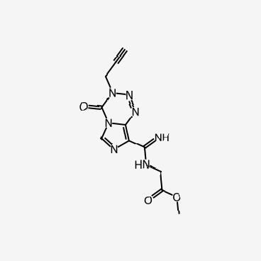 C#CCn1nnc2c(C(=N)NCC(=O)OC)ncn2c1=O